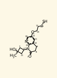 CC1(O)CC(N2C(=O)CCc3cc(OCCSS)cnc32)C1